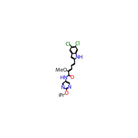 CO/C(=C\C=C\c1cc2cc(Cl)c(Cl)cc2[nH]1)C(=O)Nc1cnc(OC(C)C)nc1